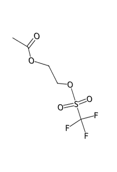 CC(=O)OCCOS(=O)(=O)C(F)(F)F